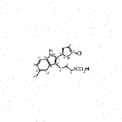 O=C(O)CCCc1c(-c2ccc(Cl)s2)[nH]c2ccc(I)cc12